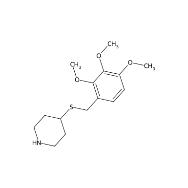 COc1ccc(CSC2CCNCC2)c(OC)c1OC